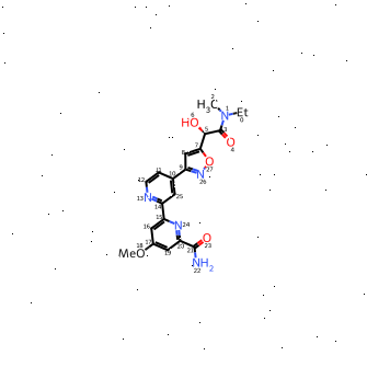 CCN(C)C(=O)[C@H](O)c1cc(-c2ccnc(-c3cc(OC)cc(C(N)=O)n3)c2)no1